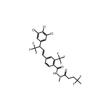 CN(NC(=O)c1ccc(/C=C/C(c2cc(Cl)c(Cl)c(Cl)c2)C(F)(F)F)cc1C(F)(F)F)C(=O)CCC(C)(F)F